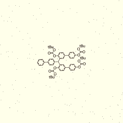 CC(C)(C)OC(=O)Oc1ccc(-c2ccc(OC(=O)OC(C)(C)C)c(C(c3ccc(-c4ccccc4)cc3)c3cc(-c4ccc(OC(=O)OC(C)(C)C)cc4)ccc3OC(=O)OC(C)(C)C)c2)cc1